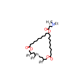 CCN(C)CCC(=O)OC(CCCCCCCCCC(=O)OCC(CCC(C)C)C(C)C)CCCCCCCCCC(=O)OCC(CCC(C)C)C(C)C